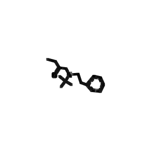 CCC(=O)CN(CCc1ccccc1)C(C)(C)C